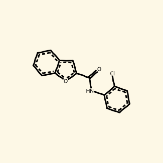 O=C(Nc1ccccc1Cl)c1cc2ccccc2o1